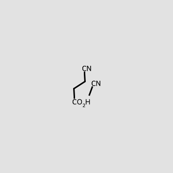 CC#N.N#CCCC(=O)O